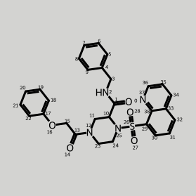 O=C(NCc1ccccc1)C1CN(C(=O)COc2ccccc2)CCN1S(=O)(=O)c1cccc2cccnc12